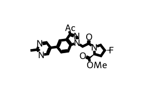 COC(=O)[C@@H]1C[C@@H](F)CN1C(=O)Cn1nc(C(C)=O)c2cc(-c3cnc(C)nc3)ccc21